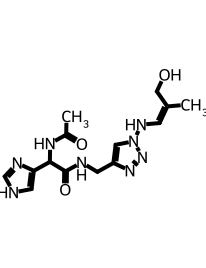 CC(=O)NC(C(=O)NCc1cn(N/C=C(/C)CO)nn1)c1c[nH]cn1